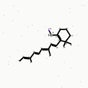 C/C=C(C)/C=C/C=C(C)/C=C/C1=C(BI)CCCC1(C)C